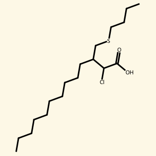 CCCCCCCCCCC(CSCCCC)C(Cl)C(=O)O